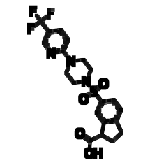 O=C(O)C1CCc2ccc(S(=O)(=O)N3CCN(c4ccc(C(F)(F)F)cn4)CC3)cc21